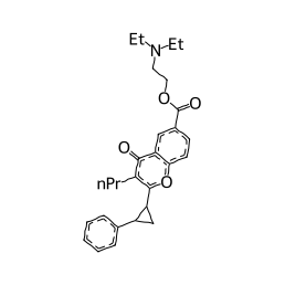 CCCc1c(C2CC2c2ccccc2)oc2ccc(C(=O)OCCN(CC)CC)cc2c1=O